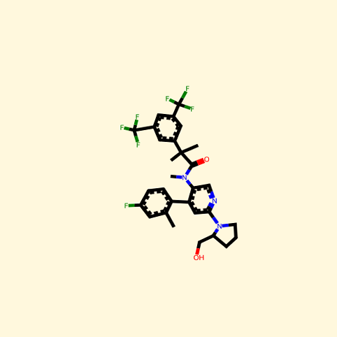 Cc1cc(F)ccc1-c1cc(N2CCCC2CO)ncc1N(C)C(=O)C(C)(C)c1cc(C(F)(F)F)cc(C(F)(F)F)c1